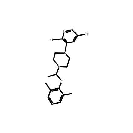 Cc1cccc(C)c1OC(C)N1CCN(c2cc(Cl)nnc2Cl)CC1